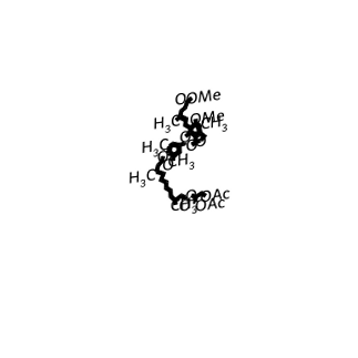 COC(=O)CC/C(C)=C/Cc1c(OC)c(C)c2c(c1OCc1cc(C)c(OC(=O)CC(C)CCCCCCC(C)CC(=O)OC(COC(C)=O)COC(C)=O)c(C)c1)C(=O)OC2